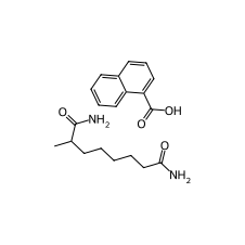 CC(CCCCCC(N)=O)C(N)=O.O=C(O)c1cccc2ccccc12